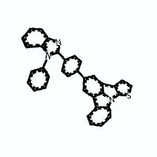 c1ccc(-n2c(-c3ccc(-c4cc5c6ccccc6n6c7sccc7c(c4)c56)cc3)nc3ccccc32)cc1